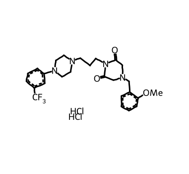 COc1ccccc1CN1CC(=O)N(CCCN2CCN(c3cccc(C(F)(F)F)c3)CC2)C(=O)C1.Cl.Cl